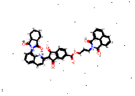 O=C(OCCCN1C(=O)c2cccc3cccc(c23)C1=O)c1ccc2c(c1)C(=O)C(c1ccc3cccc(N4C(=O)C5CCCCC5C4=O)c3n1)C2=O